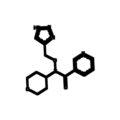 O=C(c1cccnc1)N(OCc1c[nH]nn1)C1CCOCC1